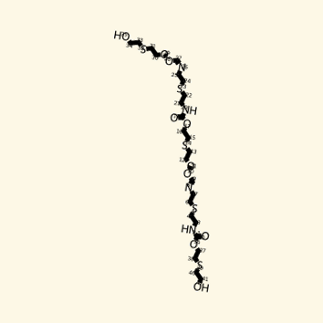 O=C(NCCSCC/N=C/OOCCSCCOC(=O)NCCSCC/N=C\OOCCSCCO)OCCSCCO